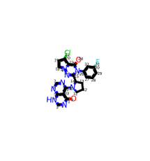 O=c1nc[nH]c2ncnc(N3CCCC3c3nn4ccc(Cl)c4c(=O)n3-c3cccc(F)c3)c12